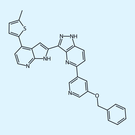 Cc1ccc(-c2ccnc3[nH]c(-c4n[nH]c5ccc(-c6cncc(OCc7ccccc7)c6)nc45)cc23)s1